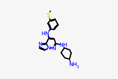 CSc1cccc(Nc2cc(N[C@H]3CC[C@H](N)CC3)nn3ccnc23)c1